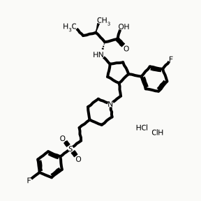 CC[C@@H](C)[C@@H](NC1CC(CN2CCC(CCS(=O)(=O)c3ccc(F)cc3)CC2)C(c2cccc(F)c2)C1)C(=O)O.Cl.Cl